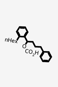 CCCCCCc1ccccc1C(CCCc1ccccc1)OC(=O)O